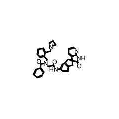 O=C(CN(Cc1ccccc1CN1CCC1)C(=O)c1ccccc1)Nc1ccc2c(c1)CC1(C2)C(=O)Nc2ncccc21